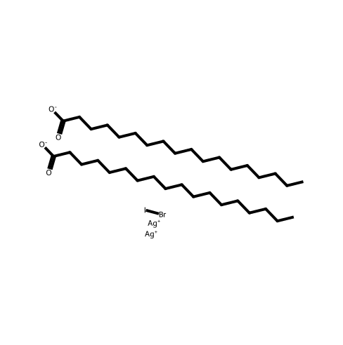 BrI.CCCCCCCCCCCCCCCCCC(=O)[O-].CCCCCCCCCCCCCCCCCC(=O)[O-].[Ag+].[Ag+]